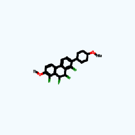 CCCCOC1CCC(c2ccc3c(c2F)C(F)C(F)c2c-3ccc(OCC)c2F)CC1